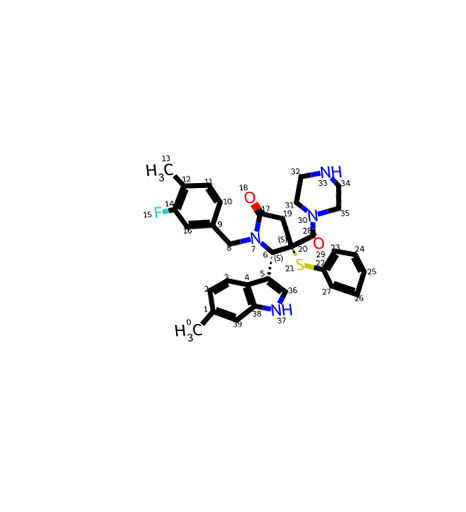 Cc1ccc2c([C@@H]3N(Cc4ccc(C)c(F)c4)C(=O)C[C@@]3(Sc3ccccc3)C(=O)N3CCNCC3)c[nH]c2c1